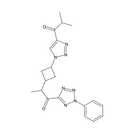 CC(C)C(=O)c1cn(C2CC(C(C)C(=O)c3nnn(-c4ccccc4)n3)C2)nn1